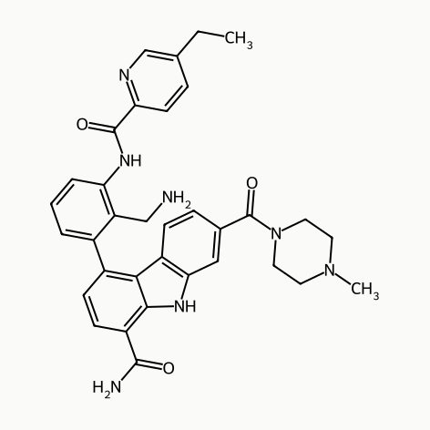 CCc1ccc(C(=O)Nc2cccc(-c3ccc(C(N)=O)c4[nH]c5cc(C(=O)N6CCN(C)CC6)ccc5c34)c2CN)nc1